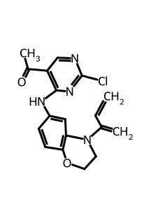 C=CC(=C)N1CCOc2ccc(Nc3nc(Cl)ncc3C(C)=O)cc21